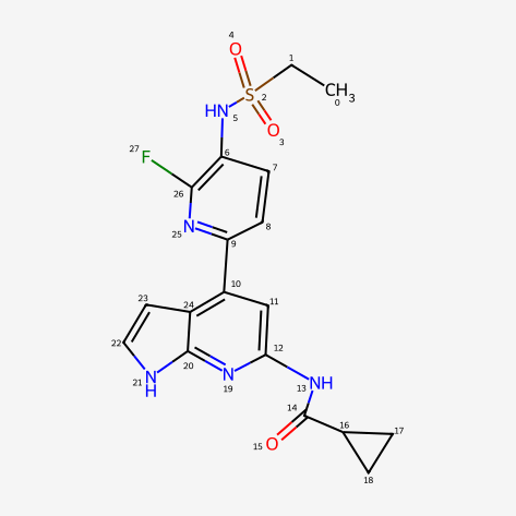 CCS(=O)(=O)Nc1ccc(-c2cc(NC(=O)C3CC3)nc3[nH]ccc23)nc1F